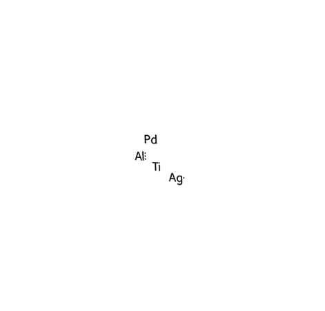 [Ag].[Al].[Pd].[Ti]